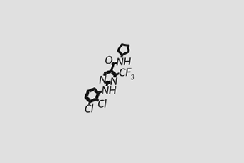 O=C(NC1CCCC1)c1cnc(Nc2cccc(Cl)c2Cl)nc1C(F)(F)F